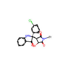 CCN1C(=O)C(O)C(C2(c3cccc(Cl)c3)Nc3ccccc3C2=O)C1=O